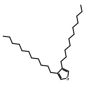 CCCCCCCCCCCc1cscc1CCCCCCCCCCC